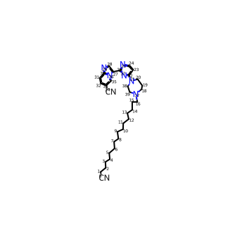 N#CCCCCCCCCCCCCCCCCN1CCCN(c2ccnc(-c3cnc4ccc(C#N)cn34)n2)CC1